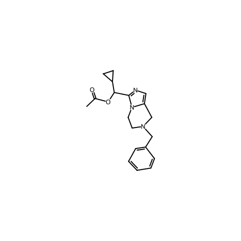 CC(=O)OC(c1ncc2n1CCN(Cc1ccccc1)C2)C1CC1